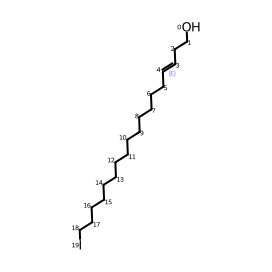 OCC/C=C/CCCCCCCCCCCCCCI